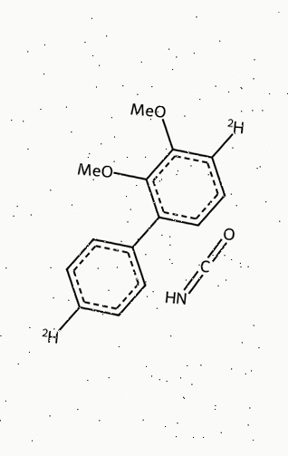 N=C=O.[2H]c1ccc(-c2ccc([2H])c(OC)c2OC)cc1